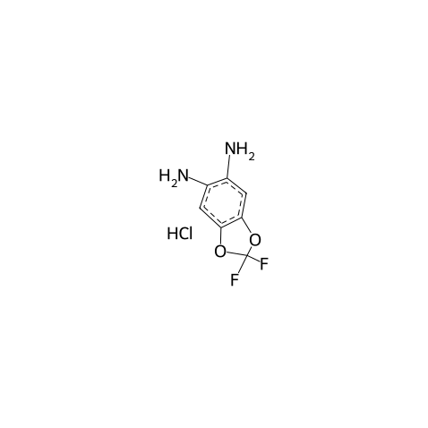 Cl.Nc1cc2c(cc1N)OC(F)(F)O2